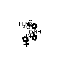 CC(C)(C)c1cccc(Nc2ccccc2C(=O)Nc2cccc(S(N)(=O)=O)c2)c1